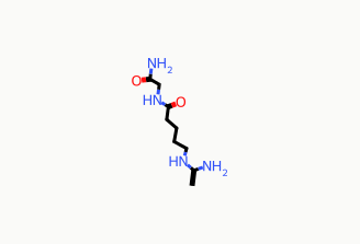 C=C(N)NCCCCC(=O)NCC(N)=O